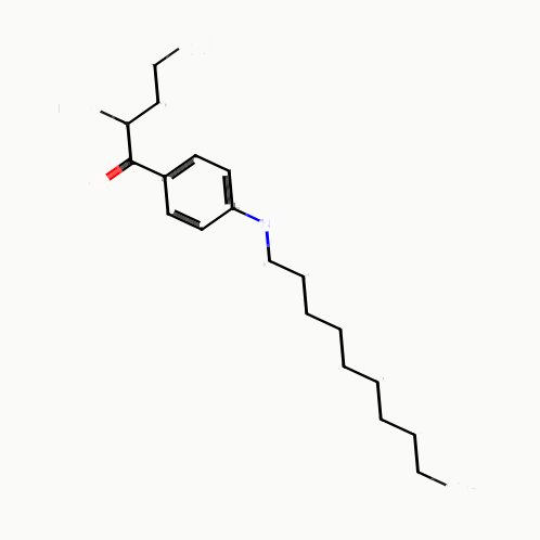 CCCCCCCCCCCCCCCCCCCNc1ccc(C(=O)C(CCC(=O)OCC)C(=O)OCC)cc1